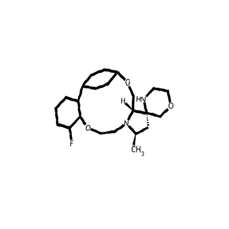 C[C@@H]1C[C@]2(COCCN2)[C@H]2COC3CCC(CC3)C3CCCC(F)C3OCCN12